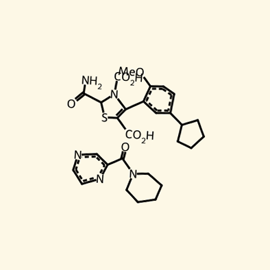 COc1ccc(C2CCCC2)cc1C1=C(C(=O)O)SC(C(N)=O)N1C(=O)O.O=C(c1cnccn1)N1CCCCC1